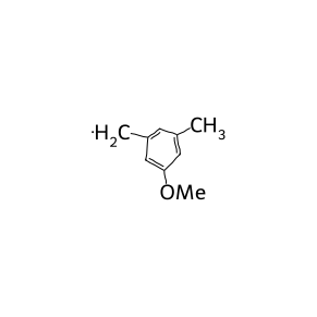 [CH2]c1cc(C)cc(OC)c1